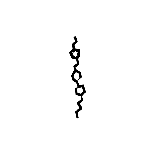 CCCCC[C@H]1CC[C@H]([C@H]2CC[C@H](CCc3ccc(CCC)cc3)CC2)CC1